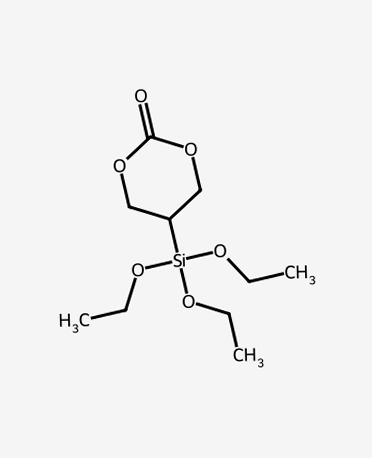 CCO[Si](OCC)(OCC)C1COC(=O)OC1